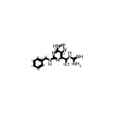 CCC(NC(=N)N)c1nc(NCc2ccccc2)nc2[nH]nnc12